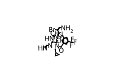 C=C(/N=C\C(Br)=C/N)N/C(=N\C=N)C(C)N(CC1CC1)C(=O)c1cc(Cl)cc(C(F)(F)F)c1